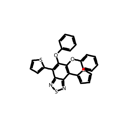 c1ccc(Oc2c(Oc3ccccc3)c(-c3cccs3)c3nsnc3c2-c2cccs2)cc1